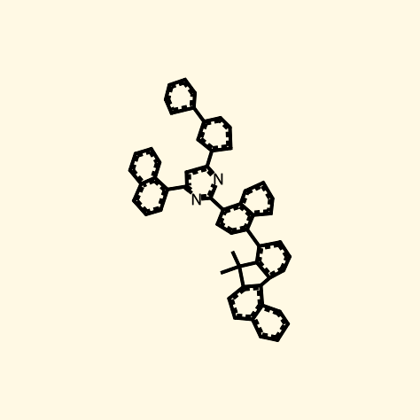 CC1(C)c2ccc3ccccc3c2-c2cccc(-c3ccc(-c4nc(-c5cccc(-c6ccccc6)c5)cc(-c5cccc6ccccc56)n4)c4ccccc34)c21